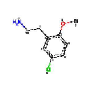 CCOc1ccc(Cl)cc1CCN